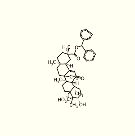 C[C@]1(C(=O)OC(c2ccccc2)c2ccccc2)CC[C@]2(C)CC[C@]3(C)C(=CC(=O)[C@@H]4[C@@]5(C)CC[C@H](O)[C@@](C)(C(=O)O)[C@@H]5CC[C@]43C)[C@@H]2C1